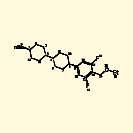 CCCC[C@H]1CC[C@H]([C@H]2CC[C@H](c3cc(F)c(COCC)c(F)c3)CC2)CC1